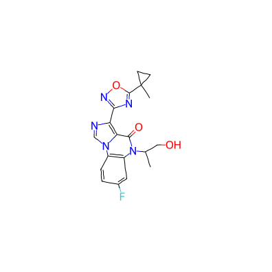 CC(CO)n1c(=O)c2c(-c3noc(C4(C)CC4)n3)ncn2c2ccc(F)cc21